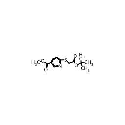 COC(=O)c1ccc(SCC(=O)OC(C)(C)C)nc1